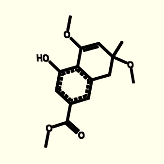 COC(=O)c1cc(O)c2c(c1)CC(C)(OC)C=C2OC